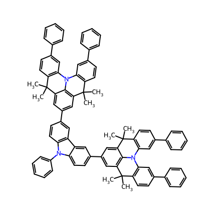 CC1(C)c2ccc(-c3ccccc3)cc2N2c3cc(-c4ccccc4)ccc3C(C)(C)c3cc(-c4ccc5c(c4)c4cc(-c6cc7c8c(c6)C(C)(C)c6ccc(-c9ccccc9)cc6N8c6cc(-c8ccccc8)ccc6C7(C)C)ccc4n5-c4ccccc4)cc1c32